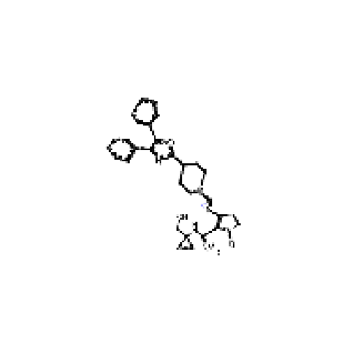 C=C(NC1(CO)CC1)C1=C(/N=C/N2CCC(c3nc(-c4ccccc4)c(-c4ccccc4)o3)CC2)CC[S+]1[O-]